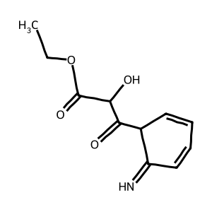 CCOC(=O)C(O)C(=O)C1C=CC=CC1=N